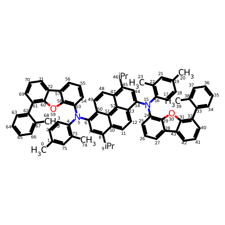 Cc1ccc(N(c2cc(C(C)C)c3ccc4c(N(c5ccc(C)cc5C)c5cccc6c5oc5c(-c7ccccc7C)cccc56)cc(C(C)C)c5ccc2c3c54)c2cccc3c2oc2c(-c4ccccc4C)cccc23)c(C)c1